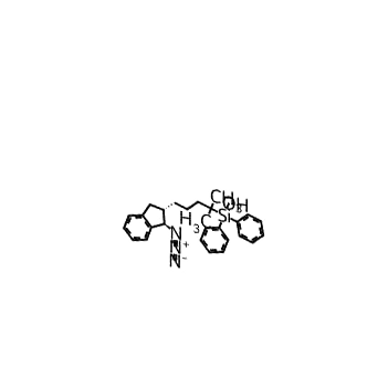 CC(C)(CCC[C@H]1Cc2ccccc2[C@@H]1N=[N+]=[N-])[Si](O)(c1ccccc1)c1ccccc1